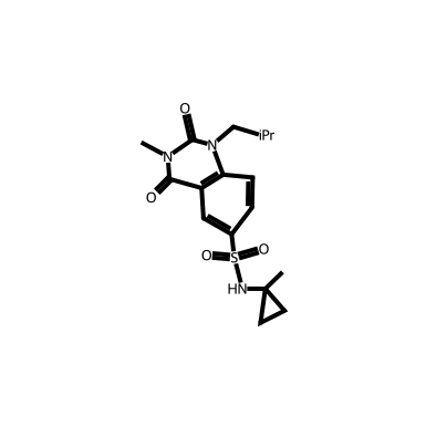 CC(C)Cn1c(=O)n(C)c(=O)c2cc(S(=O)(=O)NC3(C)CC3)ccc21